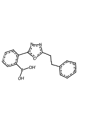 OB(O)c1ccccc1-c1nnc(CCc2ccccc2)o1